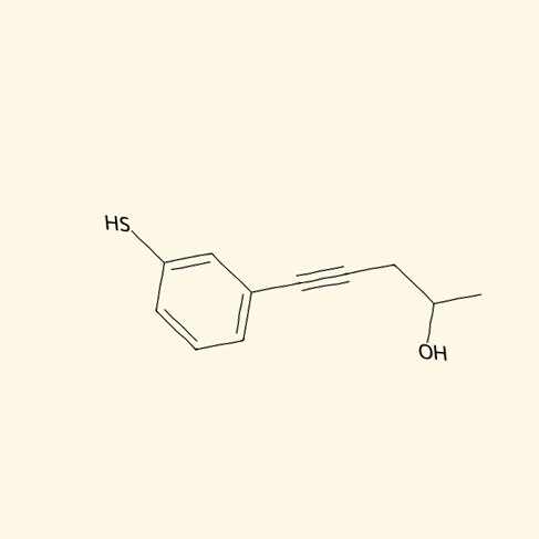 CC(O)CC#Cc1cccc(S)c1